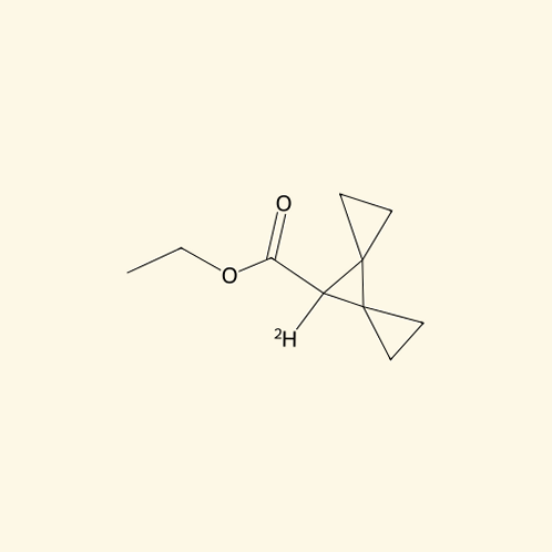 [2H]C1(C(=O)OCC)C2(CC2)C12CC2